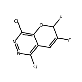 FC1=Cc2c(Cl)nnc(Cl)c2OC1F